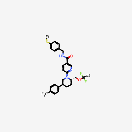 CCSc1ccc(CNC(=O)c2ccc(N3CC(c4ccc(C(F)(F)F)cc4)CC[C@H]3COC(F)(F)CC)nc2)cc1